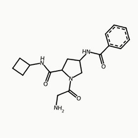 NCC(=O)N1CC(NC(=O)c2ccccc2)CC1C(=O)NC1CCC1